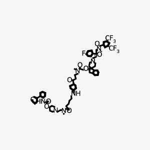 CN(CCN1CCC(OC(=O)Nc2ccccc2-c2ccccc2)CC1)C(=O)CCCCCNc1ccc(C(=O)CCCN(C)C(=O)CO[C@H]2Cc3ccccc3C23CCN(CC[C@@]2(c4ccc(F)cc4)CN(C(=O)c4cc(C(F)(F)F)cc(C(F)(F)F)c4)CO2)CC3)cc1